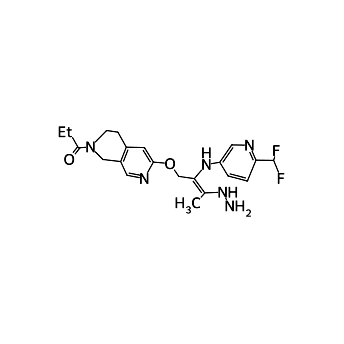 CCC(=O)N1CCc2cc(OC/C(Nc3ccc(C(F)F)nc3)=C(\C)NN)ncc2C1